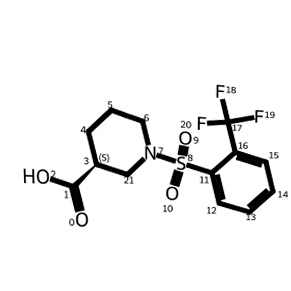 O=C(O)[C@H]1CCCN(S(=O)(=O)c2ccccc2C(F)(F)F)C1